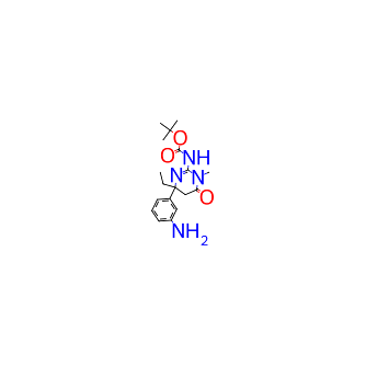 CCC1(c2cccc(N)c2)CC(=O)N(C)C(NC(=O)OC(C)(C)C)=N1